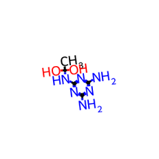 CC(O)(O)Nc1nc(N)nc(N)n1